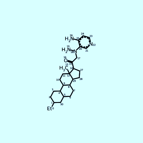 CCC1CCC2C(CCC3C2CCC2(C)C(C(=O)CN(N)c4cnccc4N)CCC32)C1